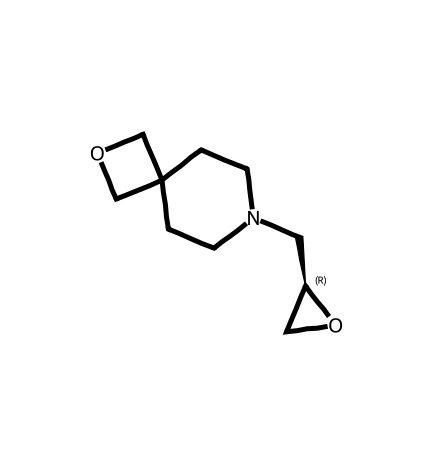 C1O[C@@H]1CN1CCC2(CC1)COC2